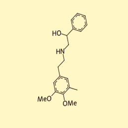 COc1cc(CCNCC(O)c2ccccc2)cc(C)c1OC